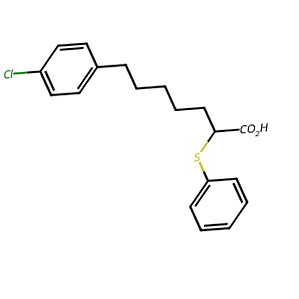 O=C(O)C(CCCCCc1ccc(Cl)cc1)Sc1ccccc1